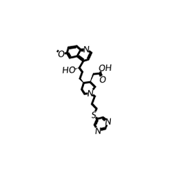 COc1ccc2nccc([C@@H](O)CC[C@@H]3CCN(CCCSc4cncnc4)C[C@@H]3CC(=O)O)c2c1